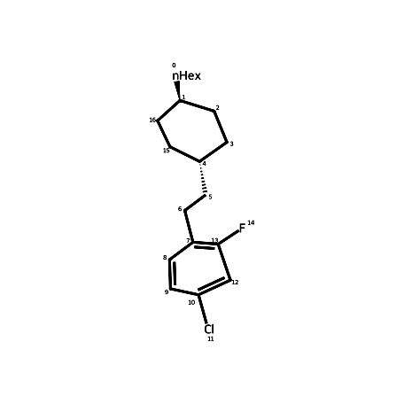 CCCCCC[C@H]1CC[C@H](CCc2ccc(Cl)cc2F)CC1